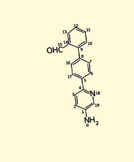 Nc1ccc(-c2ccc(-c3ccccc3C=O)cc2)nc1